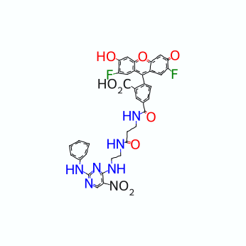 O=C(CCNC(=O)c1ccc(-c2c3cc(F)c(=O)cc-3oc3cc(O)c(F)cc23)c(C(=O)O)c1)NCCNc1nc(Nc2ccccc2)ncc1[N+](=O)[O-]